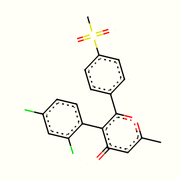 Cc1cc(=O)c(-c2ccc(Cl)cc2Cl)c(-c2ccc(S(C)(=O)=O)cc2)o1